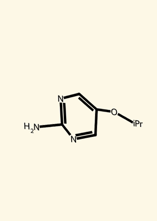 CC(C)Oc1cnc(N)nc1